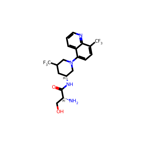 N[C@H](CO)C(=O)N[C@@H]1CC(C(F)(F)F)CN(c2ccc(C(F)(F)F)c3ncccc23)C1